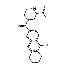 NC(=O)C1CN(C(=O)c2ccc3c(Cl)c4c(nc3c2)CCCC4)CCN1